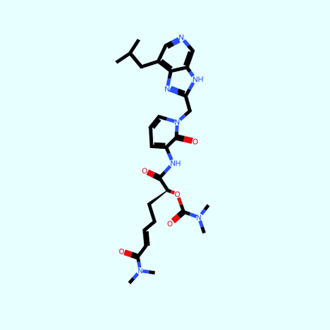 CC(C)Cc1cncc2[nH]c(Cn3cccc(NC(=O)[C@H](CC/C=C/C(=O)N(C)C)OC(=O)N(C)C)c3=O)nc12